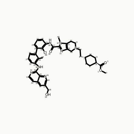 COC(=O)[C@H]1CC[C@H](CCN2CCc3c(nc(C(=O)Nc4cccc(-c5cccc(Nc6nccc7cc(CO)cnc67)c5C)c4Cl)n3C)C2)CC1